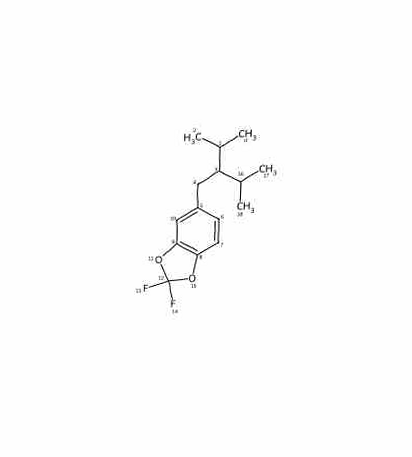 CC(C)C(Cc1ccc2c(c1)OC(F)(F)O2)C(C)C